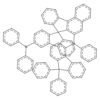 c1ccc(N(c2ccccc2)c2ccc3c(c2)-c2ccccc2C32c3ccccc3-c3c2c(N(c2ccccc2)c2cccc4c2-c2ccccc2C4(c2ccccc2)c2ccccc2)cc2ccccc32)cc1